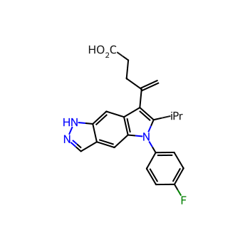 C=C(CCC(=O)O)c1c(C(C)C)n(-c2ccc(F)cc2)c2cc3cn[nH]c3cc12